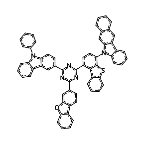 c1ccc(-n2c3ccccc3c3cc(-c4nc(-c5ccc6c(c5)oc5ccccc56)nc(-c5ccc(-n6c7ccccc7c7cc8ccccc8cc76)c6sc7ccccc7c56)n4)ccc32)cc1